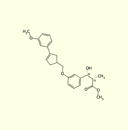 COC(=O)[C@@H](C)[C@@H](O)c1cccc(OCC2CC=C(c3cccc(OC)c3)C2)c1